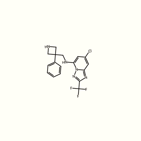 FC(F)(F)c1nc2cc(Cl)cc(NCC3(c4ccccc4)CNC3)n2n1